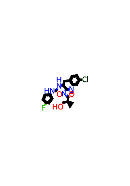 O=C(Nc1ccc(F)cc1)NC(Cc1ccc(Cl)cc1)c1noc(C2(CO)CC2)n1